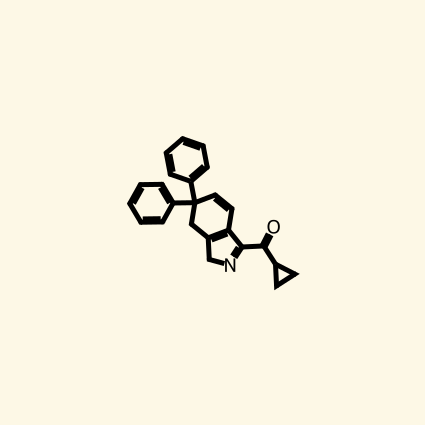 O=C(C1=NCC2=C1C=CC(c1ccccc1)(c1ccccc1)C2)C1CC1